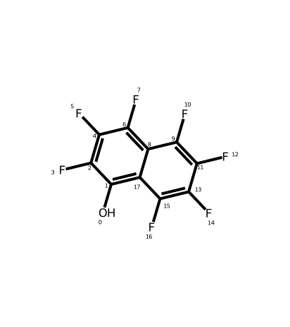 Oc1c(F)c(F)c(F)c2c(F)c(F)c(F)c(F)c12